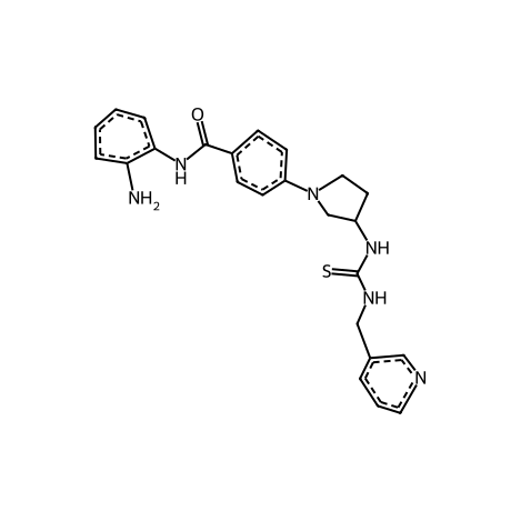 Nc1ccccc1NC(=O)c1ccc(N2CCC(NC(=S)NCc3cccnc3)C2)cc1